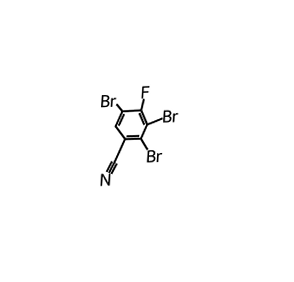 N#Cc1cc(Br)c(F)c(Br)c1Br